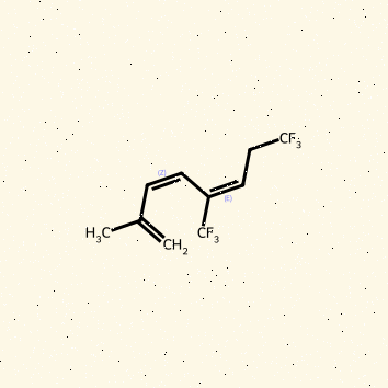 C=C(C)/C=C\C(=C/CC(F)(F)F)C(F)(F)F